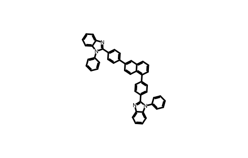 c1ccc(-n2c(-c3ccc(-c4ccc5c(-c6ccc(-c7nc8ccccc8n7-c7ccccc7)cc6)cccc5c4)cc3)nc3ccccc32)cc1